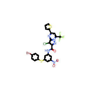 O=C(Nc1cc(Sc2ccc(Br)cc2)cc([N+](=O)[O-])c1)c1nn2c(C(F)(F)F)cc(-c3cccs3)nc2c1Cl